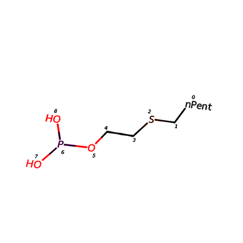 CCCCCCSCCOP(O)O